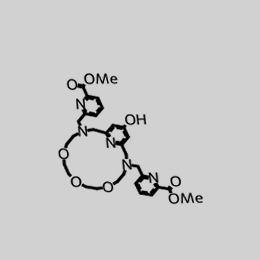 COC(=O)c1cccc(CN2CCOCCOCCOCCN(Cc3cccc(C(=O)OC)n3)Cc3cc(O)cc(n3)C2)n1